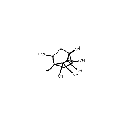 OC1CC2(O)CCC1(O)C(O)(O)C2(O)O